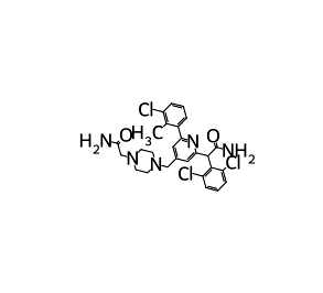 Cc1c(Cl)cccc1-c1cc(CN2CCN(CC(N)=O)CC2)cc(C(C(N)=O)c2c(Cl)cccc2Cl)n1